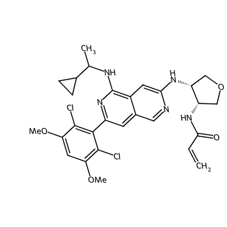 C=CC(=O)N[C@H]1COC[C@H]1Nc1cc2c(NC(C)C3CC3)nc(-c3c(Cl)c(OC)cc(OC)c3Cl)cc2cn1